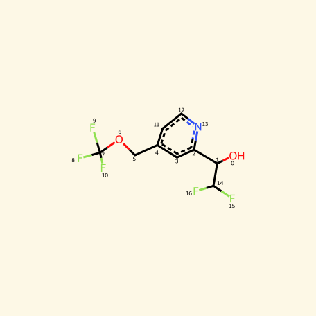 OC(c1cc(COC(F)(F)F)ccn1)C(F)F